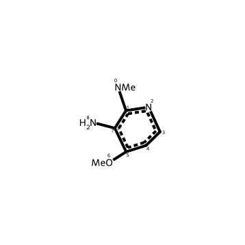 CNc1nccc(OC)c1N